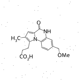 COCc1ccc2c(c1)[nH]c(=O)c1cc(C)c(CCC(=O)O)n12